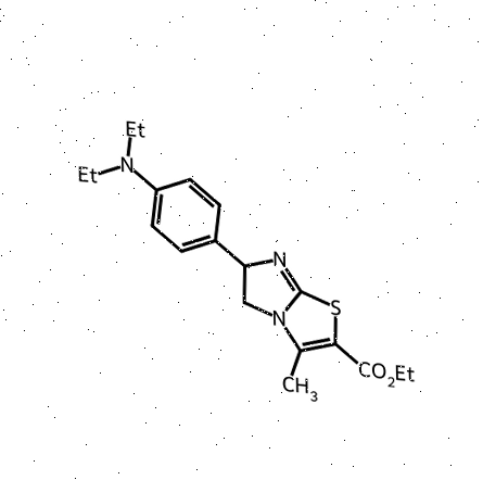 CCOC(=O)C1=C(C)N2CC(c3ccc(N(CC)CC)cc3)N=C2S1